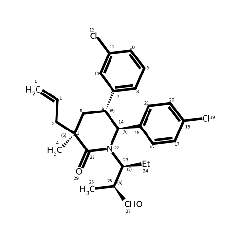 C=CC[C@@]1(C)C[C@H](c2cccc(Cl)c2)[C@@H](c2ccc(Cl)cc2)N([C@@H](CC)[C@H](C)C=O)C1=O